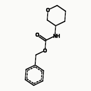 O=C(NC1CCCOC1)OCc1ccccc1